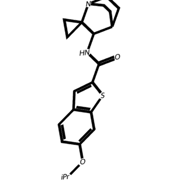 CC(C)Oc1ccc2cc(C(=O)NC3C4CCN(CC4)C34CC4)sc2c1